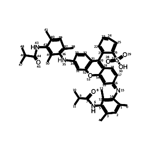 Cc1cc(C)c(NC(=O)C(C)C)c(C)c1N=c1ccc2c(-c3ccccc3S(=O)(=O)O)c3ccc(Nc4c(C)cc(C)c(NC(=O)C(C)C)c4C)cc3oc-2c1